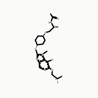 CC(=O)N[C@@H](C)CO[C@H]1CC[C@H](Oc2nc3cnc(OC[C@@H](C)F)c(Cl)c3n2C)CC1